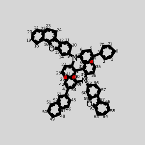 c1ccc(-c2ccc(N(c3ccc4c(c3)oc3c5ccccc5ccc43)c3ccccc3-c3ccccc3N(c3cccc(-c4ccc5ccccc5c4)c3)c3ccc4c(c3)oc3ccccc34)cc2)cc1